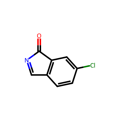 O=C1N=Cc2ccc(Cl)cc21